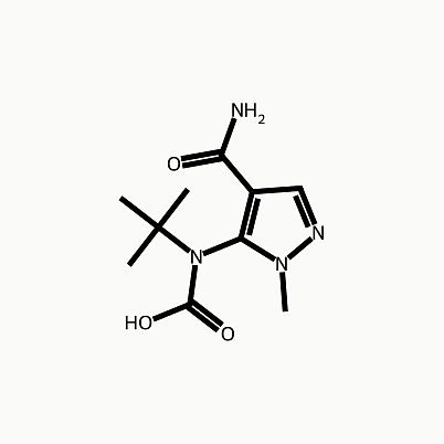 Cn1ncc(C(N)=O)c1N(C(=O)O)C(C)(C)C